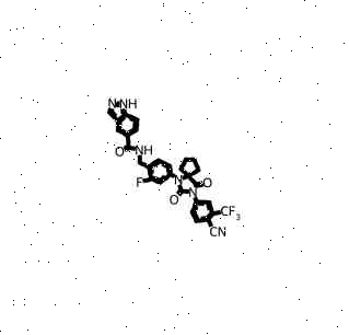 N#Cc1ccc(N2C(=O)N(c3ccc(CNC(=O)c4ccc5[nH]ncc5c4)c(F)c3)C3(CCCC3)C2=O)cc1C(F)(F)F